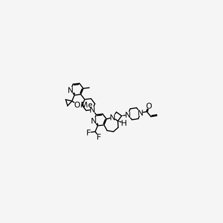 C=CC(=O)N1CCN([C@@H]2CN3c4cc(N5CCC(c6c(C)ccnc6C6(OC)CC6)CC5)nc(C(F)F)c4CCC[C@@H]23)CC1